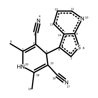 CC1=C(C#N)C(c2csc3ncccc23)C(C#N)=C(C)N1